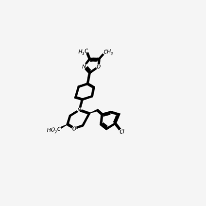 Cc1nc(C2CCC(N3C[C@H](C(=O)O)OC[C@@H]3Cc3ccc(Cl)cc3)CC2)oc1C